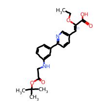 CCO/C(=C\c1ccc(-c2cccc(NCC(=O)OC(C)(C)C)c2)nc1)C(=O)O